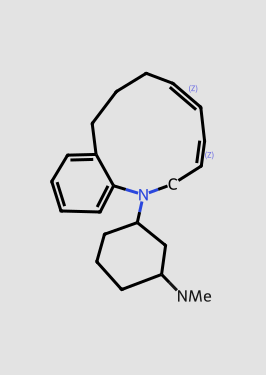 CNC1CCCC(N2C/C=C\C=C/CCCc3ccccc32)C1